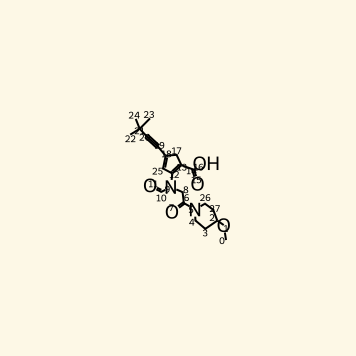 COC1CCN(C(=O)CN(C=O)C2=C(C(=O)O)CC(C#CC(C)(C)C)=C2)CC1